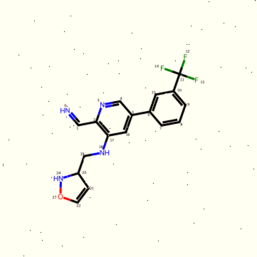 N=Cc1ncc(-c2cccc(C(F)(F)F)c2)cc1NCC1C=CON1